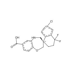 O=C(O)c1ccc2c(c1)NC[C@@]1(CCC(F)(F)c3cc(Cl)ccc31)CO2